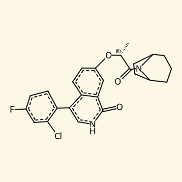 C[C@@H](Oc1ccc2c(-c3ccc(F)cc3Cl)c[nH]c(=O)c2c1)C(=O)N1C2CCCC1CC2